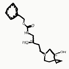 O=C(NC[C@H](O)CCN1CCC2(CC2)[C@H](O)C1)OCc1ccccc1